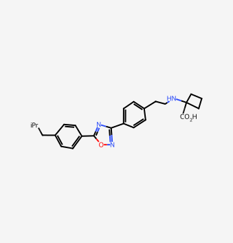 CC(C)Cc1ccc(-c2nc(-c3ccc(CCNC4(C(=O)O)CCC4)cc3)no2)cc1